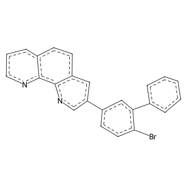 Brc1ccc(-c2cnc3c(ccc4cccnc43)c2)cc1-c1ccccc1